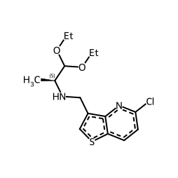 CCOC(OCC)[C@H](C)NCc1csc2ccc(Cl)nc12